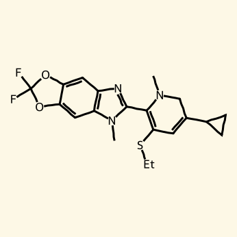 CCSC1=C(c2nc3cc4c(cc3n2C)OC(F)(F)O4)N(C)CC(C2CC2)=C1